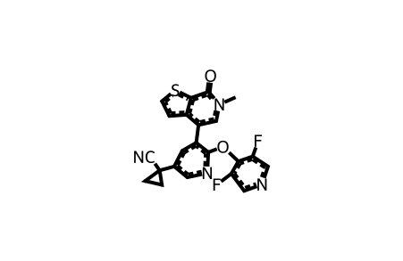 Cn1cc(-c2cc(C3(C#N)CC3)cnc2Oc2c(F)cncc2F)c2ccsc2c1=O